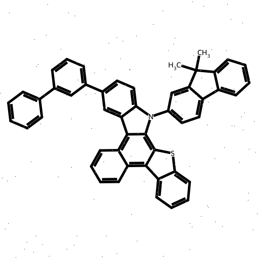 CC1(C)c2ccccc2-c2ccc(-n3c4ccc(-c5cccc(-c6ccccc6)c5)cc4c4c5ccccc5c5c6ccccc6sc5c43)cc21